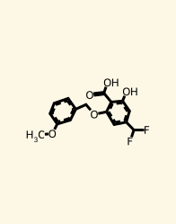 COc1cccc(COc2cc(C(F)F)cc(O)c2C(=O)O)c1